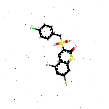 O=c1sc2cc(Br)cc(Br)c2cc1S(=O)(=O)Cc1ccc(Cl)cc1